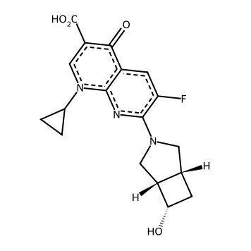 O=C(O)c1cn(C2CC2)c2nc(N3C[C@@H]4C[C@H](O)[C@@H]4C3)c(F)cc2c1=O